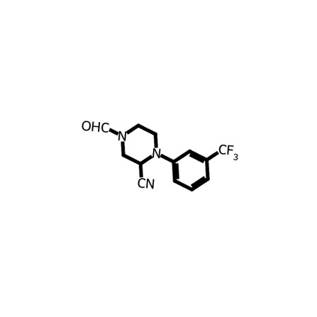 N#CC1CN(C=O)CCN1c1cccc(C(F)(F)F)c1